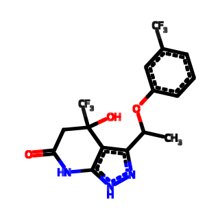 CC(Oc1cccc(C(F)(F)F)c1)c1n[nH]c2c1C(O)(C(F)(F)F)CC(=O)N2